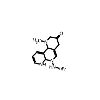 CCCNN1C=C2CC(=O)CN(C)C2C2=CC=CNC21